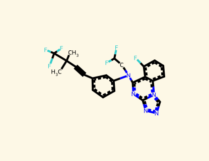 CC(C)(C#Cc1cccc(N(CC(F)F)c2nc3nncn3c3cccc(F)c23)c1)C(F)(F)F